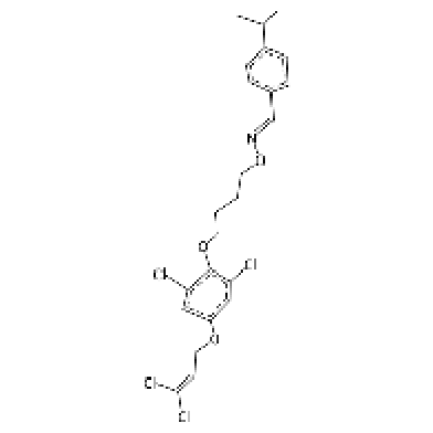 CC(C)c1ccc(/C=N/OCCCCOc2c(Cl)cc(OCC=C(Cl)Cl)cc2Cl)cc1